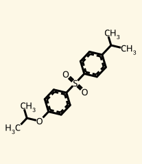 CC(C)Oc1ccc(S(=O)(=O)c2ccc(C(C)C)cc2)cc1